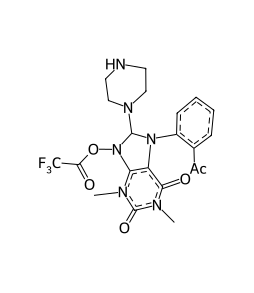 CC(=O)c1ccccc1N1c2c(n(C)c(=O)n(C)c2=O)N(OC(=O)C(F)(F)F)C1N1CCNCC1